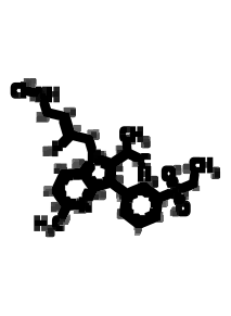 CCS(=O)(=O)c1cccc(-c2c(C(C)C)n(C/C(F)=C/CNCl)c3ccc(C)nc23)c1